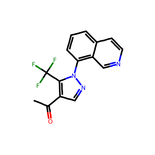 CC(=O)c1cnn(-c2cccc3ccncc23)c1C(F)(F)F